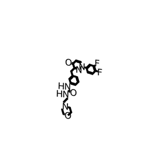 O=C(NCCN1CCOCC1)Nc1cccc(Cc2nn(-c3ccc(F)c(F)c3)ccc2=O)c1